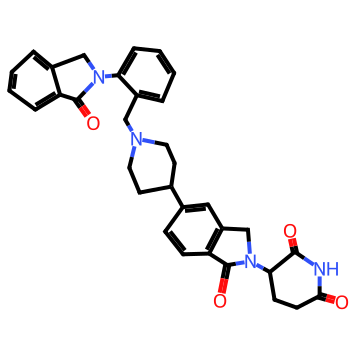 O=C1CCC(N2Cc3cc(C4CCN(Cc5ccccc5N5Cc6ccccc6C5=O)CC4)ccc3C2=O)C(=O)N1